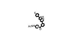 CC(=O)NC1CCN(C(=O)c2cccc(-c3cnc4[nH]c(-c5ccc(F)cc5)cc4c3)c2)CC1